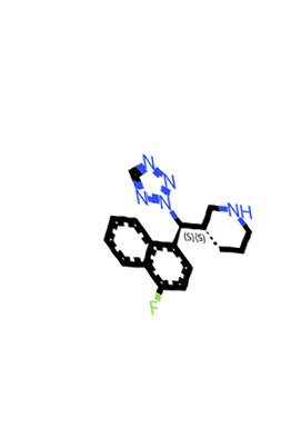 Fc1ccc([C@H]([C@H]2CCCNC2)n2ncnn2)c2ccccc12